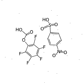 O=C(O)Oc1c(F)c(F)c(F)c(F)c1F.O=[N+]([O-])c1ccc(S(=O)(=O)O)cc1